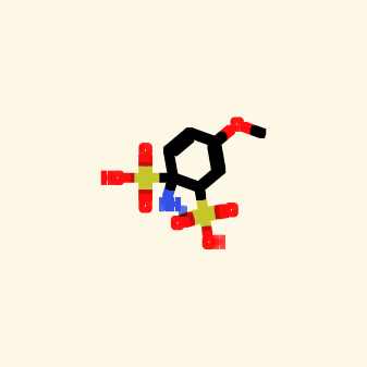 COC1=CC(S(=O)(=O)O)C(N)(S(=O)(=O)O)C=C1